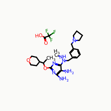 CNN(Cc1cccc(CN2CCCC2)c1)c1nc(OC(C)C2CCOCC2)nc(N)c1N.O=C(O)C(F)(F)F